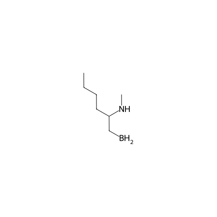 BCC(CCCC)NC